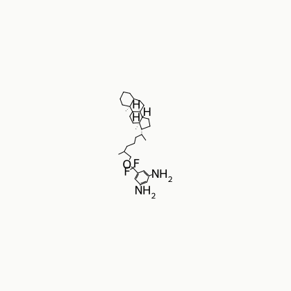 CC(CCCC(C)[C@H]1CC[C@H]2[C@@H]3CCC4CCCC[C@]4(C)[C@H]3CC[C@]12C)COC(F)(F)c1cc(N)cc(N)c1